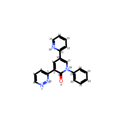 O=c1c(-c2cccnn2)cc(-c2ccccn2)cn1-c1ccccc1